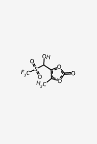 Cc1oc(=O)oc1C(O)S(=O)(=O)C(F)(F)F